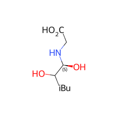 CCC(C)C(O)[C@H](O)NCC(=O)O